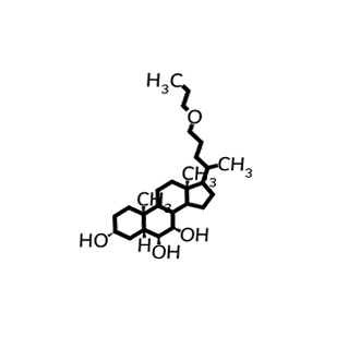 CCCOCCCC(C)C1CCC2C3C(CC[C@]12C)[C@@]1(C)CC[C@@H](O)C[C@H]1[C@H](O)[C@@H]3O